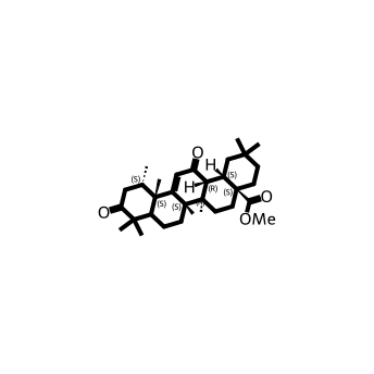 COC(=O)[C@]12CCC(C)(C)C[C@H]1[C@H]1C(=O)C=C3[C@]4(C)C(CC[C@@]3(C)[C@]1(C)CC2)C(C)(C)C(=O)C[C@@H]4C